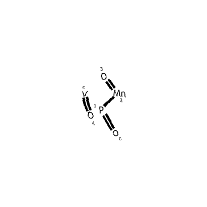 O=[P][Mn]=[O].[O]=[V]